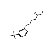 CC[S+]([O-])CCCOc1cccc(C(C)(C)C)c1